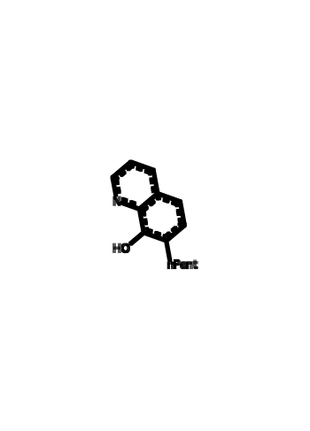 CCCCCc1ccc2cccnc2c1O